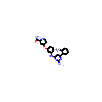 Cc1ccccc1-c1cc(Nc2cccc(Oc3ccnc(C(N)=O)c3)c2)nc(N)n1